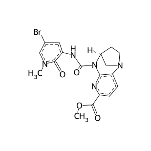 COC(=O)c1ccc2c(n1)N(C(=O)Nc1cc(Br)cn(C)c1=O)[C@H]1CCN2C1